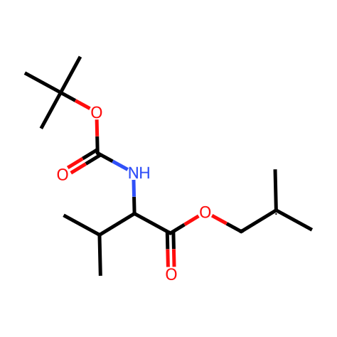 C[C](C)COC(=O)C(NC(=O)OC(C)(C)C)C(C)C